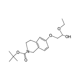 CCOC(O)COc1ccc2c(c1)CCN(C(=O)OC(C)(C)C)C2